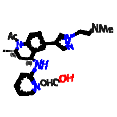 CNCCn1cc(-c2ccc3c(c2)[C@H](Nc2ccccn2)C[C@H](C)N3C(C)=O)cn1.O=CO